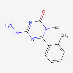 CCn1c(-c2ccccc2C)nc(NN)nc1=O